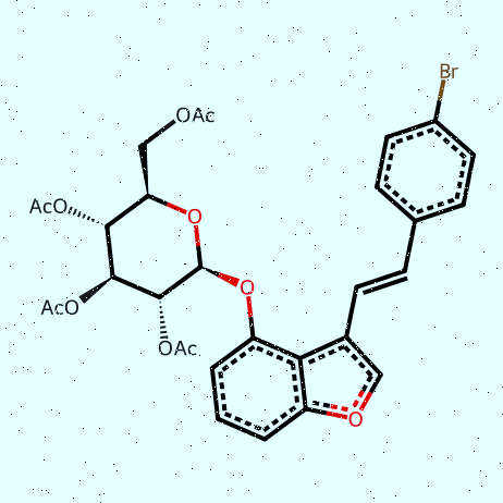 CC(=O)OC[C@H]1O[C@@H](Oc2cccc3occ(C=Cc4ccc(Br)cc4)c23)[C@H](OC(C)=O)[C@@H](OC(C)=O)[C@@H]1OC(C)=O